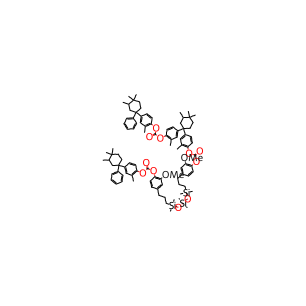 COc1cc(CCC[Si](C)(C)O[Si](C)(C)O[Si](C)(C)CCCc2ccc(OC(=O)Oc3ccc(C4(c5ccc(OC(=O)Oc6ccc(C7(c8ccccc8)CCC(C)(C)C(C)C7)cc6C)c(C)c5)CCC(C)(C)C(C)C4)cc3C)c(OC)c2)ccc1OC(=O)Oc1ccc(C2(c3ccccc3)CCC(C)(C)C(C)C2)cc1C